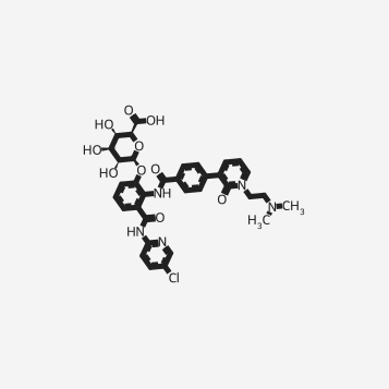 CN(C)CCn1cccc(-c2ccc(C(=O)Nc3c(O[C@@H]4O[C@H](C(=O)O)[C@@H](O)[C@H](O)[C@H]4O)cccc3C(=O)Nc3ccc(Cl)cn3)cc2)c1=O